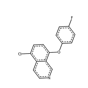 Fc1ccc(Oc2ccc(Cl)c3ccncc23)cc1